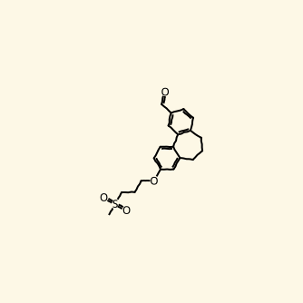 CS(=O)(=O)CCCOc1ccc2c(c1)CCCc1ccc(C=O)cc1-2